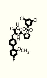 COc1cc(F)ccc1-c1ccc(C[C@H](NC(=O)[C@@H]2CCCN2S(=O)(=O)c2cc(Cl)cc(Cl)c2)C(=O)O)cc1